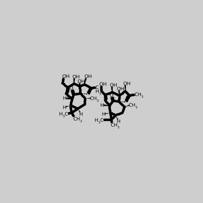 CC1=C[C@]23C(=O)[C@@H](C=C(CO)[C@@H](O)[C@]2(O)[C@H]1O)[C@H]1[C@@H](C[C@H]3C)C1(C)C.CC1=C[C@]23C(=O)[C@@H](C=C(CO)[C@@H](O)[C@]2(O)[C@H]1O)[C@H]1[C@@H](C[C@H]3C)C1(C)C